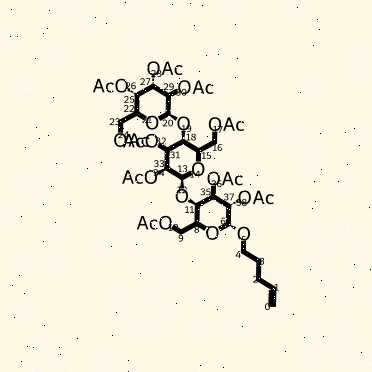 C=CCCCO[C@@H]1OC(COC(C)=O)[C@@H](O[C@@H]2OC(COC(C)=O)[C@H](O[C@H]3OC(COC(C)=O)[C@H](OC(C)=O)[C@H](OC(C)=O)C3OC(C)=O)C(OC(C)=O)[C@@H]2OC(C)=O)C(OC(C)=O)[C@@H]1OC(C)=O